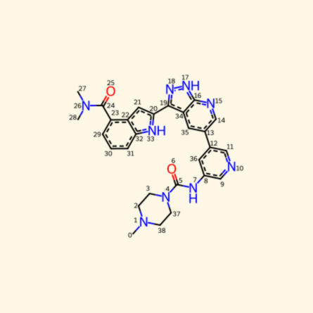 CN1CCN(C(=O)Nc2cncc(-c3cnc4[nH]nc(-c5cc6c(C(=O)N(C)C)cccc6[nH]5)c4c3)c2)CC1